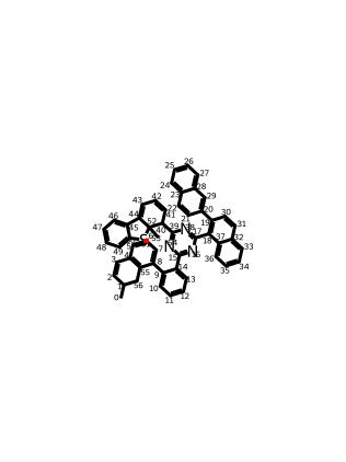 CC1C=Cc2cccc(-c3ccccc3-c3nc(-c4c(-c5ccc6ccccc6c5)ccc5ccccc45)nc(C4C=CC=C5c6ccccc6SC54C)n3)c2C1